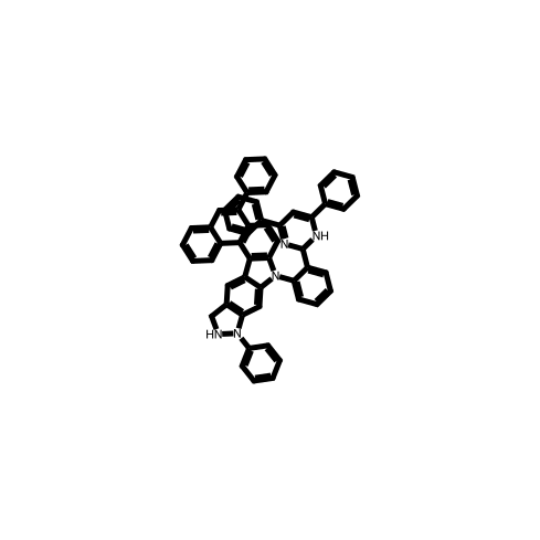 C1=C(c2ccccc2)NC(c2ccccc2-n2c3cc4c(cc3c3c5c(ccc32)c(-c2ccccc2)cc2ccccc25)CNN4c2ccccc2)N=C1c1ccccc1